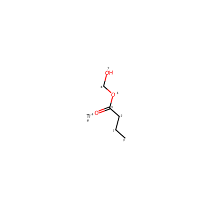 CCCC(=O)OCO.[Ti]